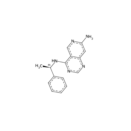 C[C@@H](Nc1ncnc2cc(N)ncc12)c1ccccc1